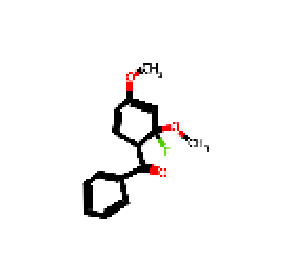 COC1=CC(F)(OC)C(C(=O)c2ccccc2)C=C1